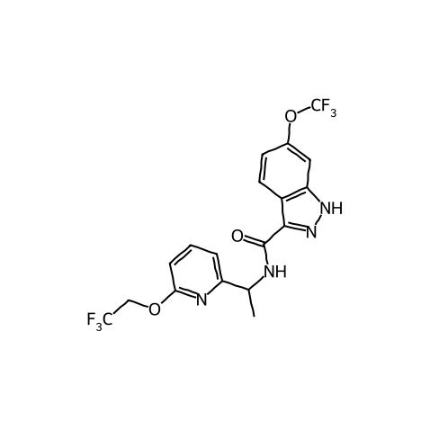 CC(NC(=O)c1n[nH]c2cc(OC(F)(F)F)ccc12)c1cccc(OCC(F)(F)F)n1